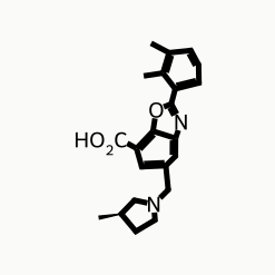 Cc1cccc(-c2nc3cc(CN4CC[C@@H](C)C4)cc(C(=O)O)c3o2)c1C